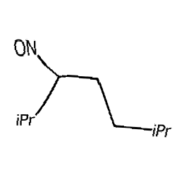 CC(C)CCC(N=O)C(C)C